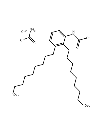 CCCCCCCCCCCCCCCCCCc1cccc(NC([O-])=S)c1CCCCCCCCCCCCCCCCCC.NC([O-])=S.[Zn+2]